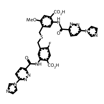 COc1cc(C(=O)O)c(NC(=O)c2ccc(-n3ccnc3)nn2)cc1CSCc1cc(NC(=O)c2ccc(-n3ccnc3)nn2)c(C(=O)O)cc1F